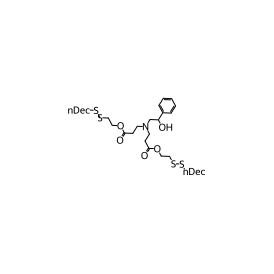 CCCCCCCCCCSSCCOC(=O)CCN(CCC(=O)OCCSSCCCCCCCCCC)CC(O)c1ccccc1